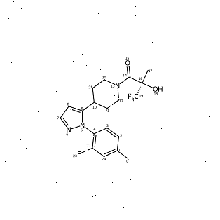 Cc1ccc(-n2nccc2C2CCN(C(=O)[C@@](C)(O)C(F)(F)F)CC2)c(F)c1